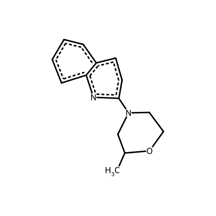 CC1CN(c2ccc3ccccc3n2)CCO1